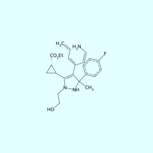 C=C/C=C(\C=C/N)C1=C(C2C[C@@H]2C(=O)OCC)N(CCO)NC1(C)c1ccc(F)cc1